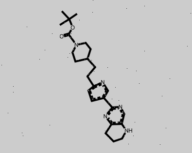 CC(C)(C)OC(=O)N1CCC(CCc2ccc(-c3ncc4c(n3)CCCN4)cn2)CC1